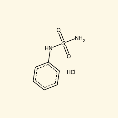 Cl.NS(=O)(=O)Nc1ccccc1